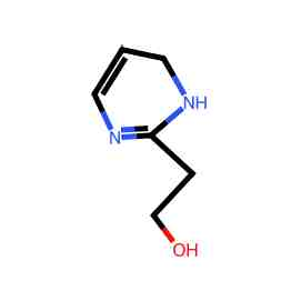 OCCC1=NC=[C]CN1